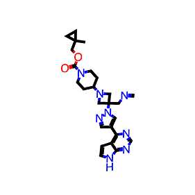 C=NCC1(n2cc(-c3ncnc4[nH]ccc34)cn2)CN(C2CCN(C(=O)OCC3(C)CC3)CC2)C1